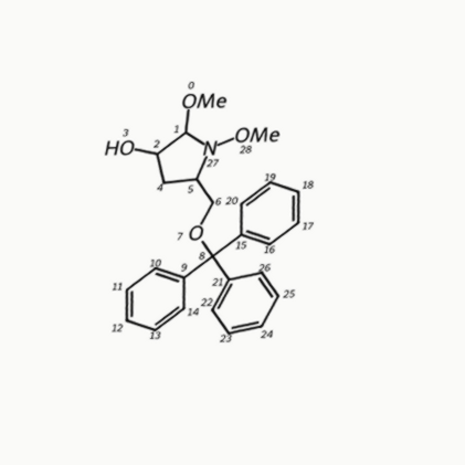 COC1C(O)CC(COC(c2ccccc2)(c2ccccc2)c2ccccc2)N1OC